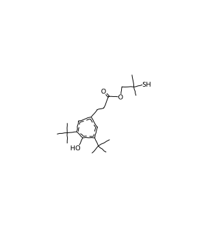 CC(C)(S)COC(=O)CCc1cc(C(C)(C)C)c(O)c(C(C)(C)C)c1